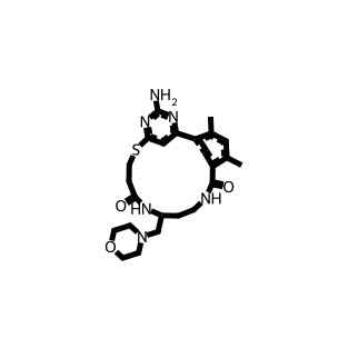 Cc1cc(C)c2cc1C(=O)NCCC(CN1CCOCC1)NC(=O)CCSc1cc-2nc(N)n1